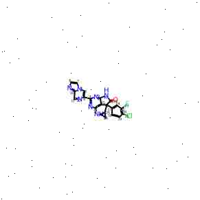 Nc1nc(-c2cn3ccnc3cn2)nc2c1C(c1ccc(Cl)c(F)c1)(C1CC1)C(=O)N2